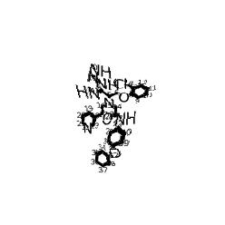 N=NNC(=N)C(COc1ccccc1Cl)N(CCc1cccnc1)CC(=O)Nc1ccc(Oc2ccccc2)cc1